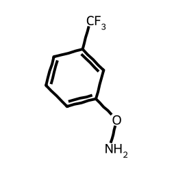 NOc1cccc(C(F)(F)F)c1